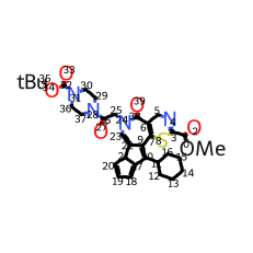 COC(=O)C1=NCC2=C(S1)C1=C(C3CCCCC3)C3=CC=CC3C1=CN(CC(=O)N1CCN(C(=O)OC(C)(C)C)CC1)C2=O